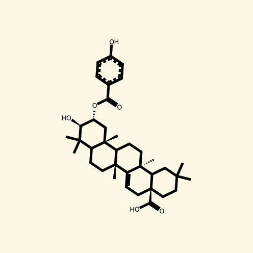 CC1(C)CC[C@]2(C(=O)O)CC=C3[C@]4(C)CCC5C(C)(C)[C@@H](O)[C@H](OC(=O)c6ccc(O)cc6)C[C@]5(C)C4CC[C@@]3(C)C2C1